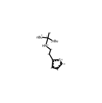 CCCCC(C)(CCCC)NCCc1cccs1